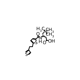 C[N+](C)(C)C[C@@H](CC(=O)O)NC(=O)c1ccc(CCc2ccsc2)s1